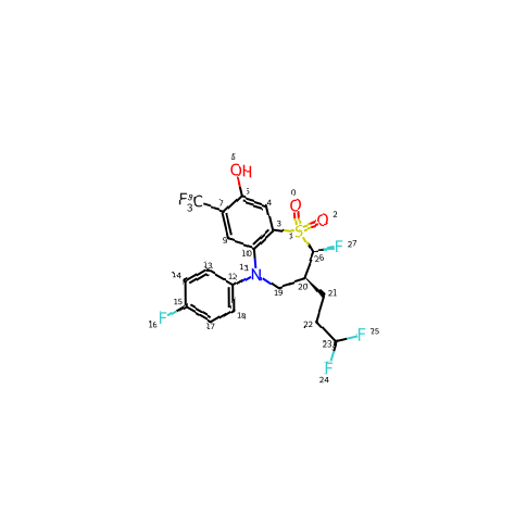 O=S1(=O)c2cc(O)c(C(F)(F)F)cc2N(c2ccc(F)cc2)C[C@H](CCC(F)F)[C@@H]1F